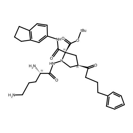 CC(C)(C)OC(=O)[C@@]1(C(=O)Nc2ccc3c(c2)CCC3)C[C@@H](C(=O)CCCc2ccccc2)CN1NC(=O)[C@@H](N)CCCN